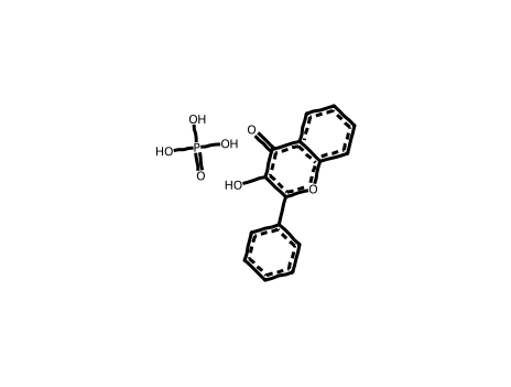 O=P(O)(O)O.O=c1c(O)c(-c2ccccc2)oc2ccccc12